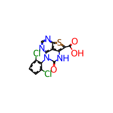 O=C(O)c1sc2ncnc3c2c1NC(=O)N3c1c(Cl)cccc1Cl